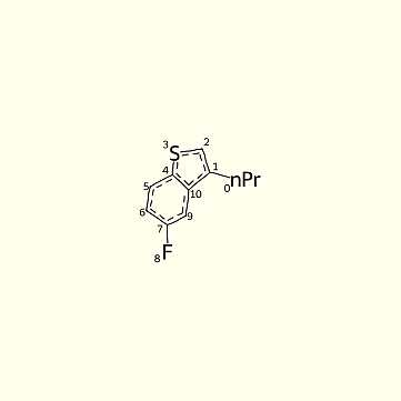 [CH2]CCc1csc2ccc(F)cc12